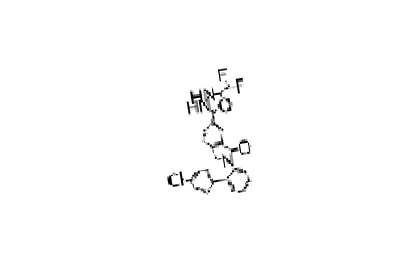 O=C1c2cc(C3NNC(C(F)F)O3)ccc2CN1c1ccccc1-c1ccc(Cl)cc1